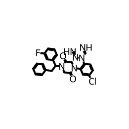 N=CN(N=N)c1ccc(Cl)cc1N1CC(=O)N(C(Cc2ccccc2)c2cccc(F)c2)CC1=O